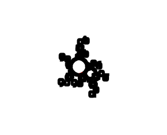 CC1(c2ccc(OC3CO3)cc2)CCCCC2(c3ccc(OC4CO4)cc3)CCC(C)(c3ccc(OC4CO4)cc3)c3ccc(OC4CO4)c(c3)Cc3cc2cc(c3OC2CO2)Cc2cc(-c3ccc(OC4CO4)cc3)cc(c2OC2CO2)Cc2cc1ccc2OC1CO1